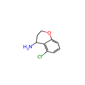 NC1CCOc2cccc(Cl)c21